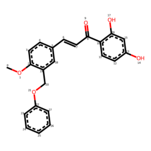 COc1ccc(/C=C/C(=O)c2ccc(O)cc2O)cc1COc1ccccc1